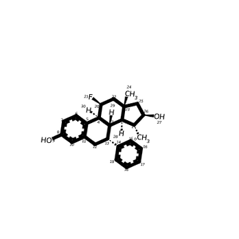 C[C@@H]1[C@H]2[C@H]3[C@@H](c4ccc(O)cc4C[C@H]3c3ccccc3)[C@@H](F)C[C@]2(C)C[C@H]1O